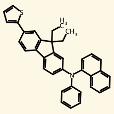 CCC1(CC)c2cc(-c3cccs3)ccc2-c2ccc(N(c3ccccc3)c3cccc4ccccc34)cc21